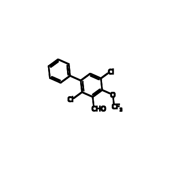 O=Cc1c(Cl)c(-c2ccccc2)cc(Cl)c1OC(F)(F)F